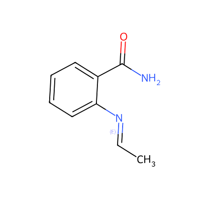 C/C=N/c1ccccc1C(N)=O